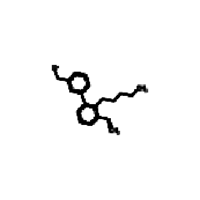 C=Cc1cccc(-c2cccc(CBr)c2)c1CCCCC